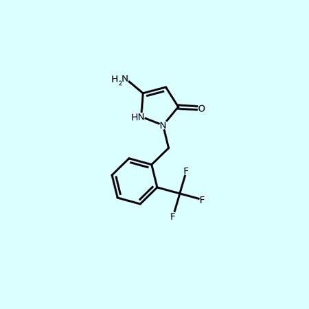 Nc1cc(=O)n(Cc2ccccc2C(F)(F)F)[nH]1